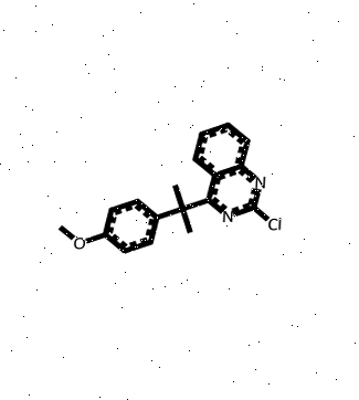 COc1ccc(C(C)(C)c2nc(Cl)nc3ccccc23)cc1